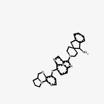 NC1c2ccccc2CC12CCN(c1nc3ccc(Sc4ccnc5c4OCC4CCCN54)c4ncc1n34)CC2